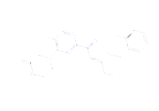 C=C1CN(c2nc(C(=N)/C=C(/CC)NCc3ccccc3F)ncc2F)CCN1